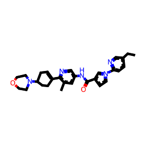 CCc1ccc(-n2ccc(C(=O)Nc3cnc(C4=CCC(N5CCOCC5)CC4)c(C)c3)c2)nc1